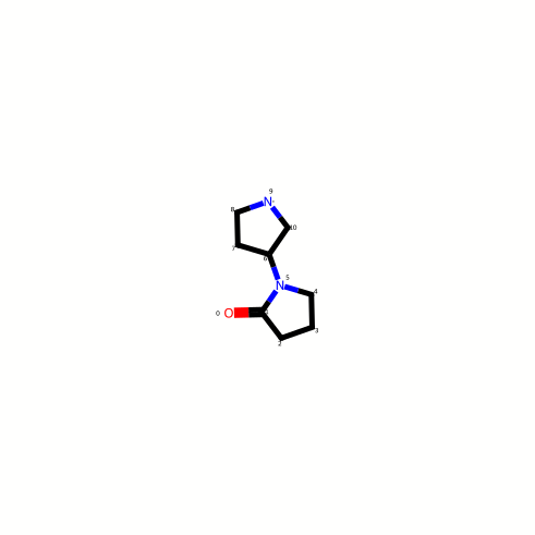 O=C1CCCN1C1CC[N]C1